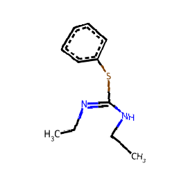 CCN=C(NCC)Sc1ccccc1